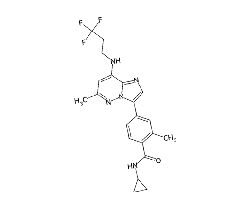 Cc1cc(NCCC(F)(F)F)c2ncc(-c3ccc(C(=O)NC4CC4)c(C)c3)n2n1